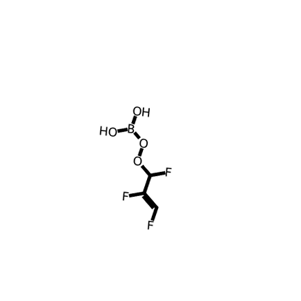 OB(O)OOC(F)C(F)=CF